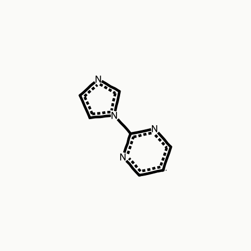 [c]1cnc(-n2ccnc2)nc1